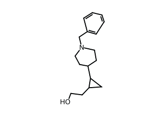 OCCC1CC1C1CCN(Cc2ccccc2)CC1